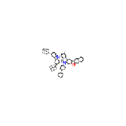 Cc1cc2c3c(c1)-n1c4ccc(C56CC7CC(CC(C7)C5)C6)cc4c4cc(C56CC7CC8CC(C5)C876)cc(c41)B3N(c1ccc(-c3ccccc3)cc1)c1cc3oc4cc5ccccc5cc4c3cc1-2